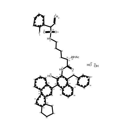 C=CC(c1ccccc1F)S(=O)(=O)NCCCC[C@H](NC(C)=O)C(=O)Nc1c(O)c(-c2cc3c4c(ccc3c3ccccc23)CCCC4)c2ccccc2c1Cc1cccnc1.Cl.Cl